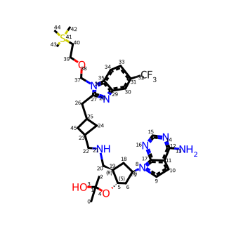 CC(C)(O)O[C@H]1C[C@H](n2ccc3c(N)ncnc32)C[C@@H]1CNCC1CC(Cc2nc3cc(C(F)(F)F)ccc3n2COCCS(C)(C)C)C1